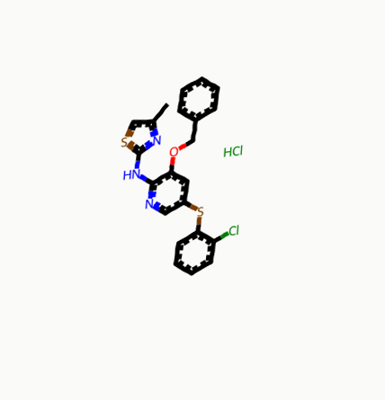 Cc1csc(Nc2ncc(Sc3ccccc3Cl)cc2OCc2ccccc2)n1.Cl